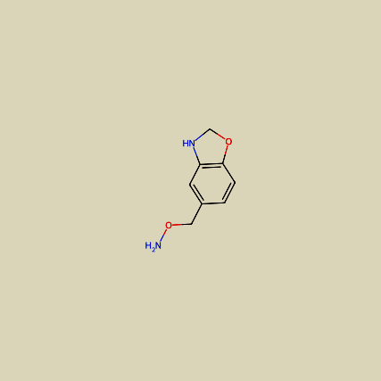 NOCc1ccc2c(c1)NCO2